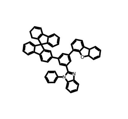 C1=CC2Oc3c(-c4cc(-c5ccc6c(c5)C5(C7=C(C=CCC7)c7ccccc75)c5ccccc5-6)cc(-c5nc6ccccc6n5-c5ccccc5)c4)cccc3C2C=C1